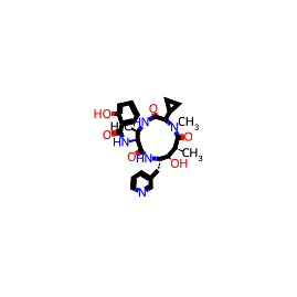 C[C@H]1NC(=O)C(C2CC2)N(C)C(=O)[C@H](C)[C@H](O)[C@H](Cc2cccnc2)NC(=O)[C@H]1NC(=O)c1ccccc1O